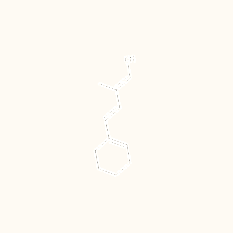 CC(/C=C/C1=CCCCC1)=C\C#N